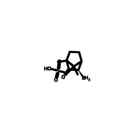 B[C@@H]1C(=O)C2(C)CCC1C2(C)CS(=O)(=O)O